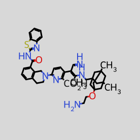 C/C(NCC12CC3(C)CC(C)(C1)CC(OCCN)(C3)C2)=C(/C=N)c1ccc(N2CCc3cccc(C(=O)Nc4nc5ccccc5s4)c3C2)nc1C(=O)O